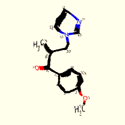 COc1ccc(C(=O)C(C)Cn2ccnc2)cc1